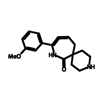 COc1cccc(C2=C=CCC3(CCNCC3)C(=O)N2)c1